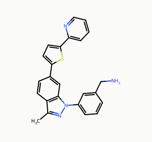 Cc1nn(-c2cccc(CN)c2)c2cc(-c3ccc(-c4ccccn4)s3)ccc12